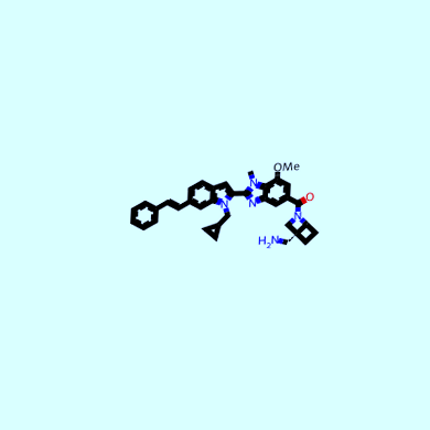 COc1cc(C(=O)N2C[C@]3(CN)CCC23)cc2nc(-c3cc4ccc(/C=C/c5ccccc5)cc4n3CC3CC3)n(C)c12